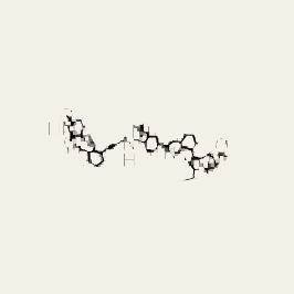 CCc1nc(-c2cccc3cc(-c4ccc5c(NCC#Cc6cccc7c6CN(C6CCC(=O)NC6=O)C7=O)nn(C)c5c4)ncc23)c2n1CCN(C(C)=O)C2